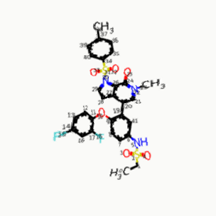 CCS(=O)(=O)Nc1ccc(Oc2ccc(F)cc2F)c(-c2cn(C)c(=O)c3c2ccn3S(=O)(=O)c2ccc(C)cc2)c1